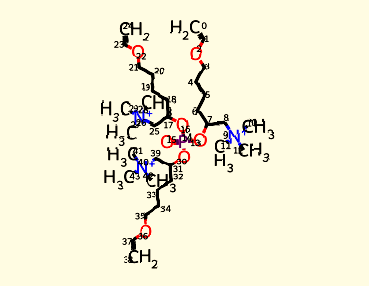 C=COCCCCC(C[N+](C)(C)C)OP(=O)(OC(CCCCOC=C)C[N+](C)(C)C)OC(CCCCOC=C)C[N+](C)(C)C